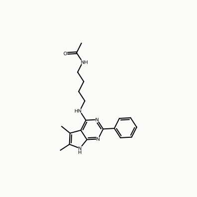 CC(=O)NCCCCNc1nc(-c2ccccc2)nc2[nH]c(C)c(C)c12